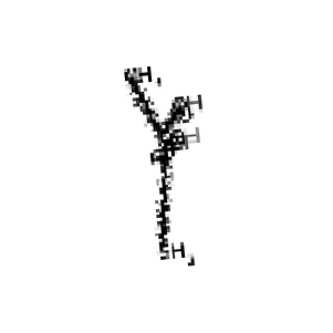 CCCCCCCCCCCCCCCCCC(=O)OCC(CO)(CO)CC(CCCCCCCCCCCC)CCCCC(=O)O